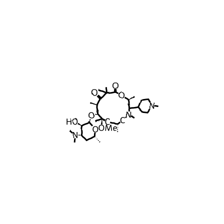 CO[C@]1(C)C[C@@H](C)CN(C)C(C2CCN(C)CC2)[C@H](C)OC(=O)C(C)(C)C(=O)[C@H](C)[C@H]1O[C@@H]1O[C@H](C)C[C@H](N(C)C)[C@H]1O